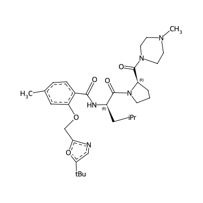 Cc1ccc(C(=O)N[C@H](CC(C)C)C(=O)N2CCC[C@@H]2C(=O)N2CCN(C)CC2)c(OCc2ncc(C(C)(C)C)o2)c1